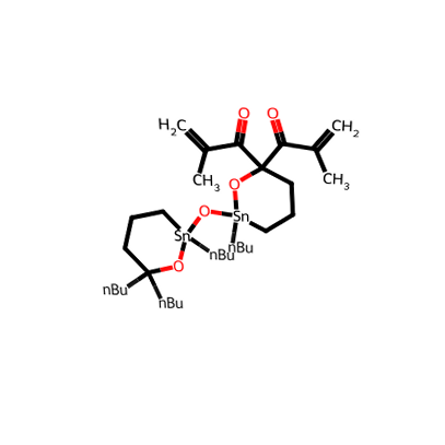 C=C(C)C(=O)C1(C(=O)C(=C)C)CC[CH2][Sn]([CH2]CCC)([O][Sn]2([CH2]CCC)[CH2]CCC(CCCC)(CCCC)[O]2)[O]1